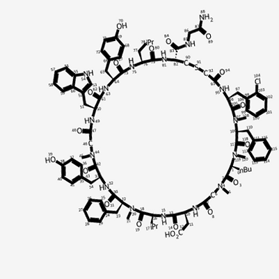 CCCC[C@H]1C(=O)N(C)CC(=O)N[C@@H](CC(=O)O)C(=O)N[C@@H](C(C)C)C(=O)N(C)[C@@H](Cc2ccccc2)C(=O)N[C@@H](Cc2ccc(O)cc2)C(=O)N(C)CC(=O)N[C@@H](Cc2c[nH]c3ccccc23)C(=O)N[C@@H](Cc2ccc(O)cc2)C(=O)N[C@@H](CC(C)C)C(=O)N[C@H](C(=O)NCC(N)=O)CSCC(=O)N[C@@H](Cc2ccccc2Cl)C(=O)N(C)[C@@H](Cc2ccccc2)C(=O)N1C